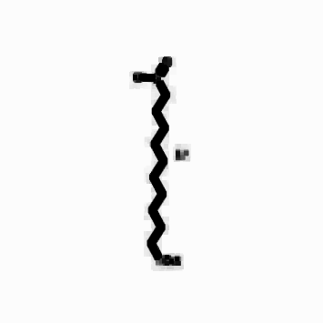 CCCCCCCCCCCCCCCCCCS(=O)[O-].[Li+]